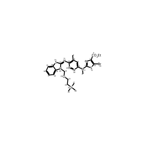 CCOC(=O)c1nc(N(C)c2cc(C)c(N=c3sc4ccccc4n3COCC[Si](C)(C)C)nn2)sc1Br